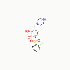 O=c1c(O)c(CN2CCNCC2)ccn1S(=O)(=O)c1ccccc1F